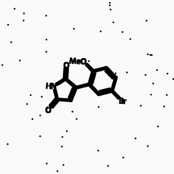 COc1ccc(Br)cc1C1=CC(=O)NC1=O